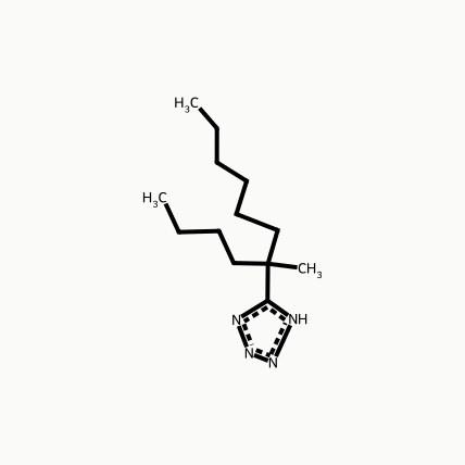 CCCCCCC(C)(CCCC)c1nnn[nH]1